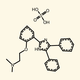 CN(C)CCOc1ccccc1-c1nc(-c2ccccc2)c(-c2ccccc2)[nH]1.O=S(=O)(O)O